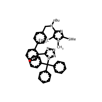 CCCCN(Cc1ccc(-c2ccccc2-c2nnnn2C(c2ccccc2)(c2ccccc2)c2ccccc2)cc1)c1nc(SC)n(C)c1C(=O)OCC